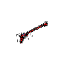 CCCN(CCC/N=C(/NCCOCCOCCOCCOCCOCCOCCOCCOCCOCCOCCC(=O)Oc1c(F)c(F)cc(F)c1F)Nc1cccc(N)c1)C(=O)C1=Cc2ccc(C(=O)Nc3ccccc3)cc2N=C(N)C1